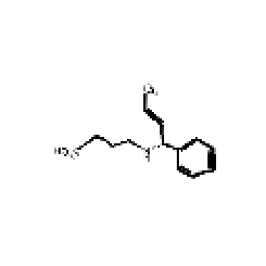 CC(C)(C)/C=C/[C@@H](NCCCS(=O)(=O)O)c1ccccc1